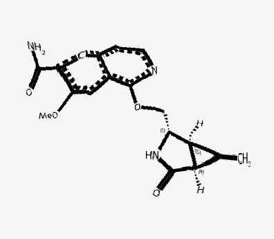 COc1cc2c(OC[C@H]3NC(=O)[C@@H]4C(C)[C@@H]43)nccc2cc1C(N)=O